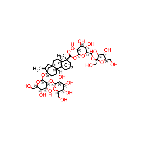 C=C1C[C@@]23CC[C@H]4[C@@](C)(CCC[C@@]4(C)C(=O)O[C@@H]4O[C@H](CO[C@]5(CO)O[C@H](CO)[C@@H](O)[C@@H]5O)[C@@H](O)[C@H](O)[C@H]4O)[C@@H]2CC[C@]1(O[C@@H]1O[C@H](CO)[C@@H](O)[C@H](O)[C@H]1O[C@@H]1O[C@H](CO)[C@@H](O)[C@H](O)[C@H]1O)C3